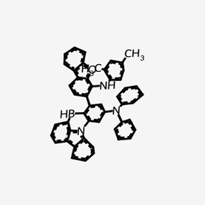 Cc1ccc(Nc2c(-c3cc(N(c4ccccc4)c4ccccc4)cc4c3Bc3cccc5c6ccccc6n-4c35)ccc3c2oc2ccccc23)c(C)c1